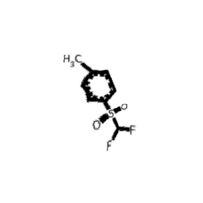 Cc1ccc(S(=O)(=O)C(F)F)cc1